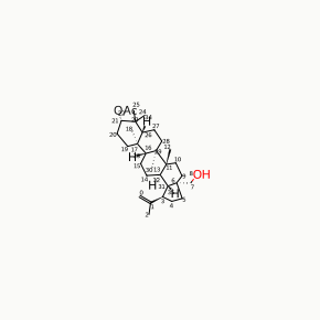 C=C(C)[C@@H]1CC[C@]2(CO)CC[C@]3(C)[C@H](CC[C@@H]4[C@@]5(C)CC[C@H](OC(C)=O)C(C)(C)[C@@H]5CC[C@]43C)[C@@H]12